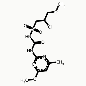 COCC(Cl)CS(=O)(=O)NC(=O)Nc1nc(C)cc(OC)n1